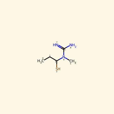 CCC(S)N(C)C(=N)N